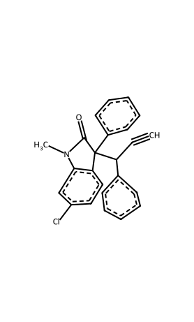 C#CC(c1ccccc1)C1(c2ccccc2)C(=O)N(C)c2cc(Cl)ccc21